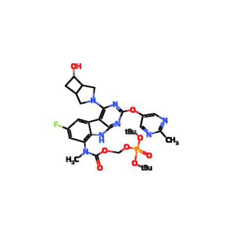 Cc1ncc(Oc2nc(N3CC4CC(O)C4C3)c3c(n2)[nH]c2c(N(C)C(=O)OCOP(=O)(OC(C)(C)C)OC(C)(C)C)cc(F)cc23)cn1